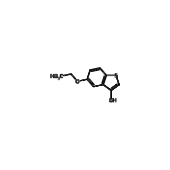 O=C(O)COc1ccc2scc(O)c2c1